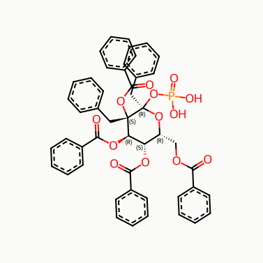 O=C(OC[C@H]1O[C@](Cc2ccccc2)(OP(=O)(O)O)[C@@](Cc2ccccc2)(OC(=O)c2ccccc2)[C@H](OC(=O)c2ccccc2)[C@H]1OC(=O)c1ccccc1)c1ccccc1